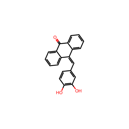 O=C1c2ccccc2C(=Cc2ccc(O)c(O)c2)c2ccccc21